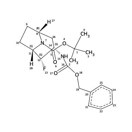 CC(C)(C)OC(=O)N1[C@@H]2CC[C@H]1[C@@H](F)[C@@H](NC(=O)OCc1ccccc1)C2